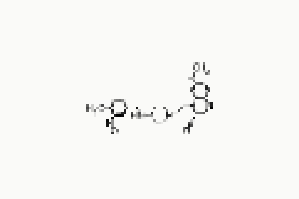 COc1ccc2ncc(C#N)c(CCN3CCC(NCc4ccc(C)c(N=O)c4)CC3)c2c1